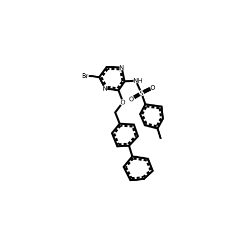 Cc1ccc(S(=O)(=O)Nc2ncc(Br)nc2OCc2ccc(-c3ccccc3)cc2)cc1